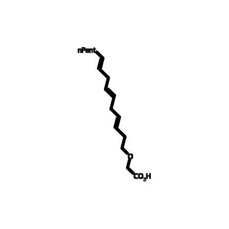 CCCCCC=CCC=CCC=CCCOCC(=O)O